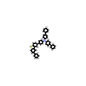 C1=CC(c2ccc(N(c3ccc(-c4ccccc4)cc3)c3ccc(-c4ccccc4)cc3)cc2)Cc2c1sc1ccc(-c3ccccc3)cc21